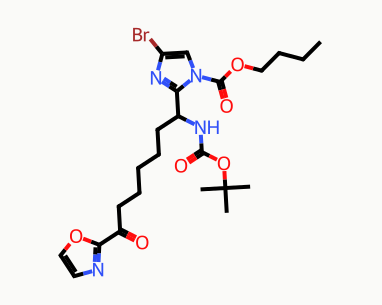 CCCCOC(=O)n1cc(Br)nc1C(CCCCCC(=O)c1ncco1)NC(=O)OC(C)(C)C